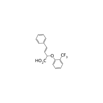 O=C(O)C(/C=C/c1ccccc1)Oc1ccccc1C(F)(F)F